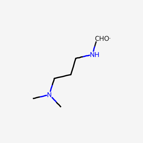 CN(C)CCCN[C]=O